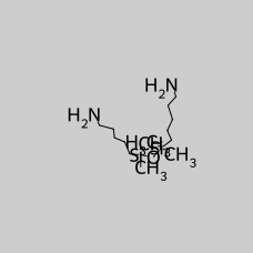 C[Si](C)(CCCCCN)O[Si](C)(C)CCCCCN